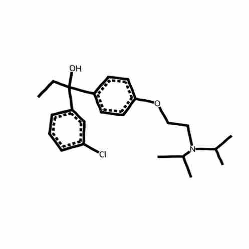 CCC(O)(c1ccc(OCCN(C(C)C)C(C)C)cc1)c1cccc(Cl)c1